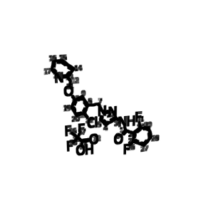 O=C(Nc1ccn(Cc2cc(OCc3ccccn3)ccc2Cl)n1)c1c(F)cccc1F.O=C(O)C(F)(F)F